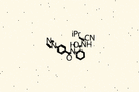 CC(C)C[C@@H](C#N)NC(=O)[C@@H]1CCCC[C@@H]1NC(=O)c1ccc(-n2ccnc2)cc1